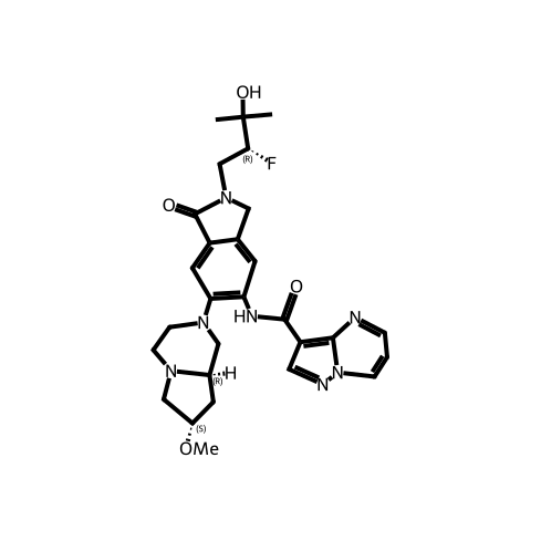 CO[C@H]1C[C@@H]2CN(c3cc4c(cc3NC(=O)c3cnn5cccnc35)CN(C[C@@H](F)C(C)(C)O)C4=O)CCN2C1